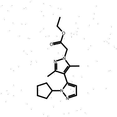 CCOC(=O)Cn1nc(C)c(-c2ccnn2C2CCCC2)c1C